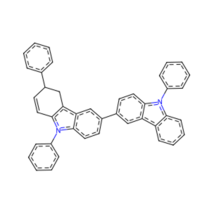 C1=CC(c2ccccc2)Cc2c1n(-c1ccccc1)c1ccc(-c3ccc4c(c3)c3ccccc3n4-c3ccccc3)cc21